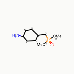 COP(=O)(CC1CCC(N)CC1)OC